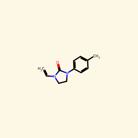 C=CN1CCN(c2ccc(C)cc2)C1=O